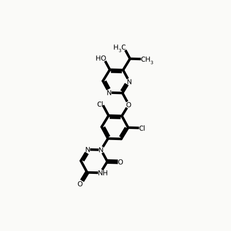 CC(C)c1nc(Oc2c(Cl)cc(-n3ncc(=O)[nH]c3=O)cc2Cl)ncc1O